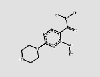 CCNc1nc(N2CCNCC2)ncc1C(=O)N(CC)CC